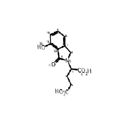 O=C(O)CCC(C(=O)O)N1Cc2cccc(O)c2C1=O